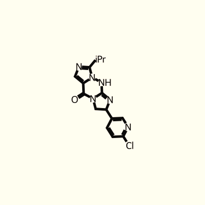 CC(C)c1ncc2n1NC1=NC(c3ccc(Cl)nc3)CN1C2=O